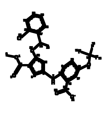 COC(=O)c1sc(Nc2ccc(OC(F)(F)F)cc2[N+](=O)[O-])cc1OC(C)c1ccccc1Cl